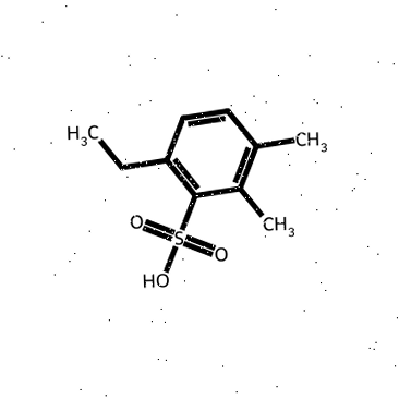 CCc1ccc(C)c(C)c1S(=O)(=O)O